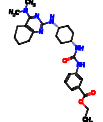 CCOC(=O)c1cccc(NC(=O)N[C@H]2CC[C@@H](Nc3nc4c(c(N(C)C)n3)CCCC4)CC2)c1